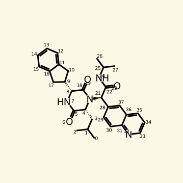 CC(C)C[C@@H]1C(=O)N[C@H](C2Cc3ccccc3C2)C(=O)N1[C@@H](C(=O)NC(C)C)c1ccc2ncccc2c1